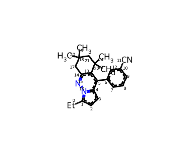 CCc1ccc2c(-c3cccc(C#N)c3)c3c(nn12)CC(C)(C)CC3(C)C